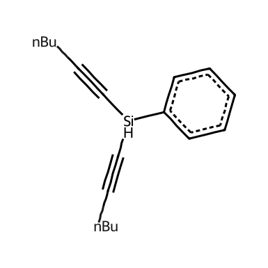 CCCCC#C[SiH](C#CCCCC)c1ccccc1